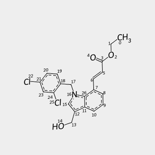 CCOC(=O)C=Cc1cccc2c(CO)cn(Cc3ccc(Cl)cc3Cl)c12